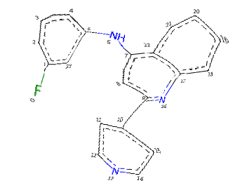 Fc1cccc(Nc2cc(-c3ccncc3)nc3ccccc23)c1